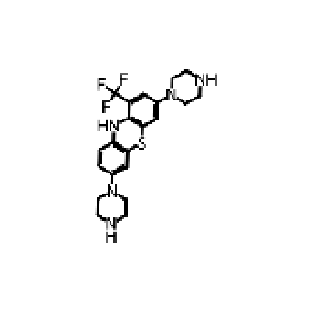 FC(F)(F)c1cc(N2CCNCC2)cc2c1Nc1ccc(N3CCNCC3)cc1S2